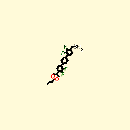 BCc1ccc(-c2ccc(-c3ccc(C4COC(/C=C/C)OC4)c(F)c3F)cc2)c(F)c1F